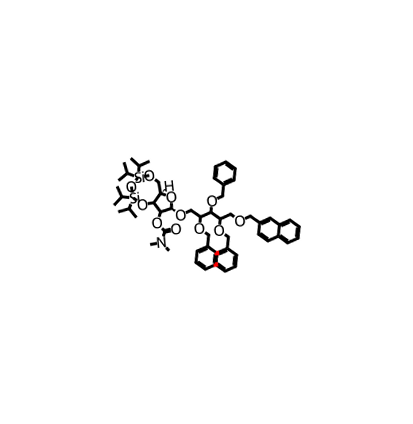 CC(C)[Si]1(C(C)C)OC[C@H]2O[C@@H](OCC(OCc3ccccc3)C(OCc3ccccc3)C(COCc3ccc4ccccc4c3)OCc3ccccc3)C(OC(=O)N(C)C)C2O[Si](C(C)C)(C(C)C)O1